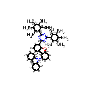 Bc1c(B)c(B)c(-c2nc(-c3c(B)c(B)c(B)c(B)c3B)nc(-c3cccc4c3oc3cccc(-n5c6ccccc6c6ccccc65)c34)n2)c(B)c1B